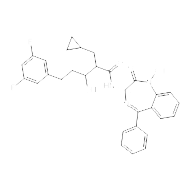 CN1C(=O)[C@@H](NC(=O)C(CC2CC2)C(O)CCc2cc(F)cc(F)c2)N=C(c2ccccc2)c2ccccc21